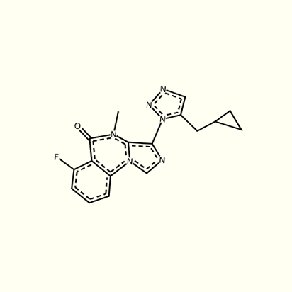 Cn1c(=O)c2c(F)cccc2n2cnc(-n3nncc3CC3CC3)c12